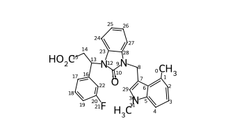 Cc1cccc2c1c(Cn1c(=O)n(C(CC(=O)O)c3cccc(F)c3)c3ccccc31)cn2C